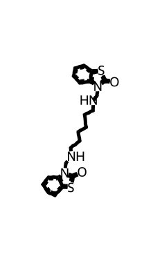 O=c1sc2ccccc2n1CNCCCCCCNCn1c(=O)sc2ccccc21